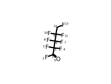 O=C(F)C(F)(F)C(F)(F)C(F)(F)CF